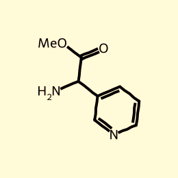 COC(=O)C(N)c1cccnc1